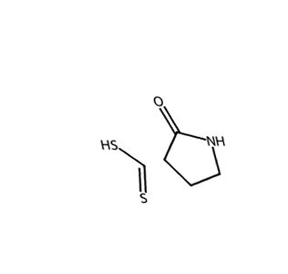 O=C1CCCN1.S=CS